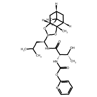 CC(C)C[C@H](NC(=O)[C@@H](NC(=O)Oc1ccccn1)[C@@H](C)O)B1O[C@@H]2C[C@@H]3C[C@@H](C3(C)C)[C@]2(C)O1